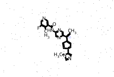 C/C=C(/c1ccc(-c2cncn2C)cc1)c1cnc(NC(=O)c2cncc(F)c2C)cn1